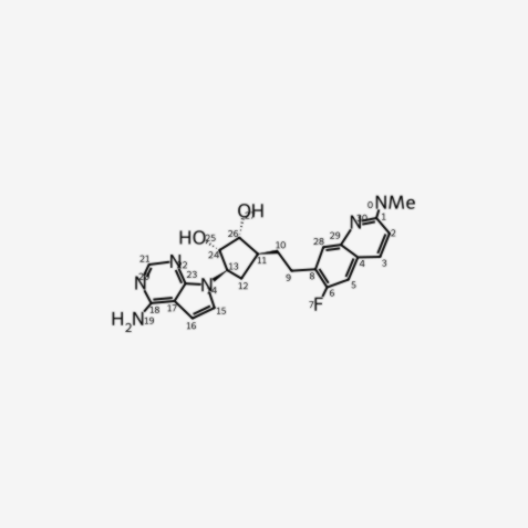 CNc1ccc2cc(F)c(CC[C@H]3C[C@@H](n4ccc5c(N)ncnc54)[C@H](O)[C@@H]3O)cc2n1